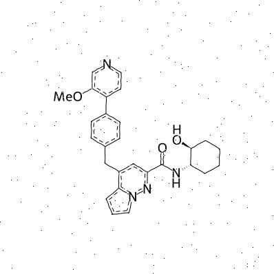 COc1cnccc1-c1ccc(Cc2cc(C(=O)N[C@H]3CCCC[C@@H]3O)nn3cccc23)cc1